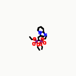 CCOP(=O)(OCC)C(Cc1cnc2ccccn12)P(=O)(OCC)OCC